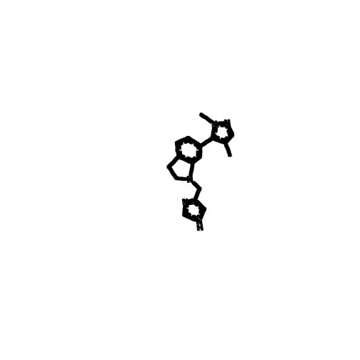 Cc1cnn(C)c1-c1ccc2c(c1)N(Cc1c[nH]cn1)CC2